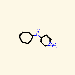 C1CCCC(NC2CCNCC2)CC1